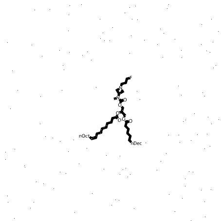 CCCCCCCC/C=C\CCCCCCCC(=O)OC(COC(=O)CCCCCCCCCCCCCCC)COC(=O)N(C)C1CN(CCCF)C1